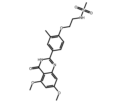 COc1cc(OC)c2c(=O)[nH]c(-c3ccc(OCCNS(C)(=O)=O)c(C)c3)nc2c1